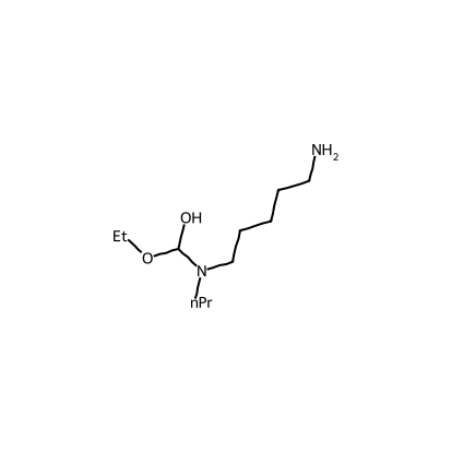 CCCN(CCCCCN)C(O)OCC